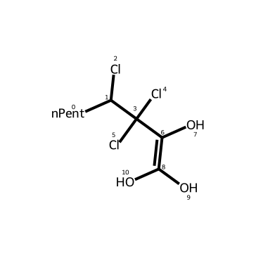 CCCCCC(Cl)C(Cl)(Cl)C(O)=C(O)O